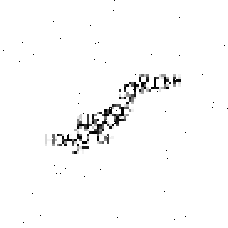 C[C@@H]1CC(C(O)C(C)(C)O)OC2[C@H]1C1(C)CCC34CC35CCC(O[C@H]3CN(C(=O)CC6CCNCC6)CCO3)C(C)(C)[C@@H]5CCC4[C@]1(C)[C@H]2O